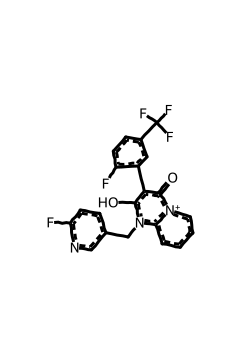 O=c1c(-c2cc(C(F)(F)F)ccc2F)c(O)n(Cc2ccc(F)nc2)c2cccc[n+]12